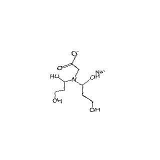 O=C([O-])CN(C(O)CCO)C(O)CCO.[Na+]